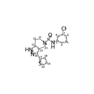 O=C(Nc1cccc(Cl)c1)N1CCc2[nH]nc(-c3cccs3)c2C1